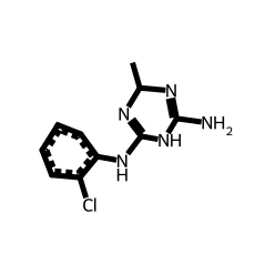 CC1N=C(N)NC(Nc2ccccc2Cl)=N1